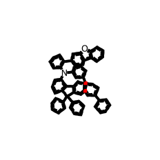 c1ccc(-c2ccc(-c3cccc(N(c4ccccc4-c4ccc5c(c4)oc4ccccc45)c4cccc5c4-c4ccccc4C5(c4ccccc4)c4ccccc4)c3)cc2)cc1